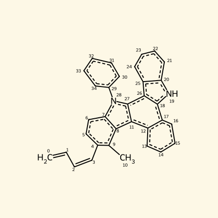 C=C/C=C\c1ccc2c(c1C)c1c3ccccc3c3[nH]c4ccccc4c3c1n2-c1ccccc1